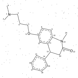 CN(C)CCCOc1ccc2c(c1)C(c1ccccc1)CC(=O)N2C